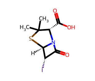 CC1(C)S[C@@H]2[C@@H](I)C(=O)N2[C@H]1C(=O)O